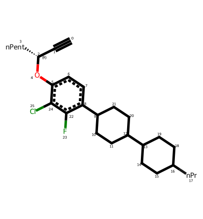 C#C[C@@H](CCCCC)Oc1ccc(C2CCC(C3CCC(CCC)CC3)CC2)c(F)c1Cl